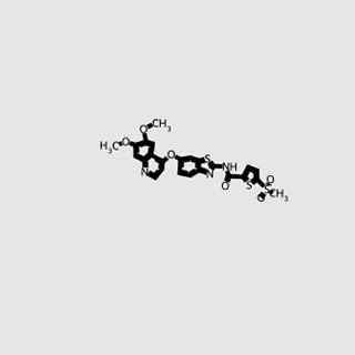 COc1cc2nccc(Oc3ccc4nc(NC(=O)c5ccc(S(C)(=O)=O)s5)sc4c3)c2cc1OC